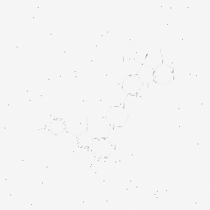 Cn1cc(-c2cn3ncnc(N4CCN(c5ncc([C@](C)(O)c6c(F)cccc6F)cn5)CC4)c3c2F)cn1